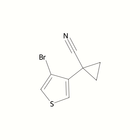 N#CC1(c2cscc2Br)CC1